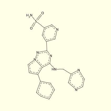 NS(=O)(=O)c1cncc(-c2nc(NCc3cnccn3)c3c(-c4ccccc4)ccn3n2)c1